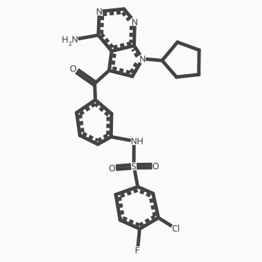 Nc1ncnc2c1c(C(=O)c1cccc(NS(=O)(=O)c3ccc(F)c(Cl)c3)c1)cn2C1CCCC1